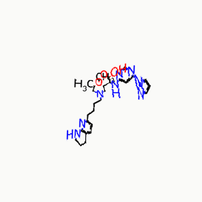 CO[C@H](C)CN(CCCCc1ccc2c(n1)NCCC2)CC[C@H](Nc1cc(-n2cccn2)ncn1)C(=O)O